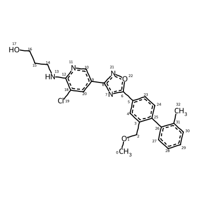 COCc1cc(-c2nc(-c3cnc(NCCCO)c(Cl)c3)no2)ccc1-c1ccccc1C